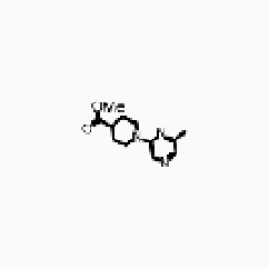 COC(=O)C1CCN(c2cncc(C)n2)CC1